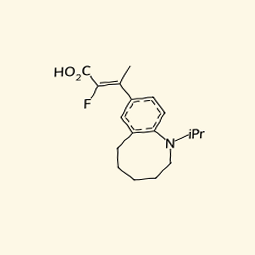 CC(=C(F)C(=O)O)c1ccc2c(c1)CCCCCN2C(C)C